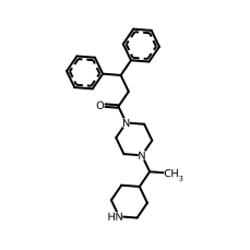 CC(C1CCNCC1)N1CCN(C(=O)CC(c2ccccc2)c2ccccc2)CC1